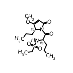 CCC[C@@H](NS(=O)(=O)CC)C(=O)N1C(=O)C=C(OC)[C@@H]1CCC